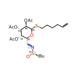 C=CCCCCS[C@H]1O[C@H](/C=N/[S@+]([O-])C(C)(C)C)[C@H](OC(C)=O)[C@H](OC(C)=O)[C@H]1OC(C)=O